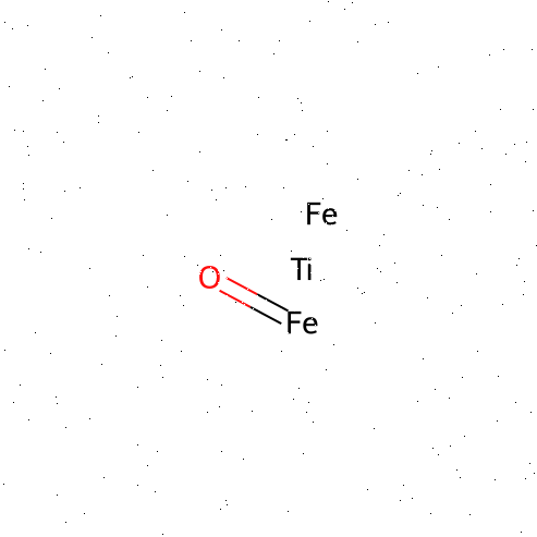 [Fe].[O]=[Fe].[Ti]